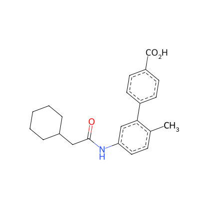 Cc1ccc(NC(=O)CC2CCCCC2)cc1-c1ccc(C(=O)O)cc1